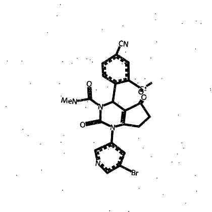 CNC(=O)N1C(=O)N(c2cncc(Br)c2)C2=C(C(=O)CC2)C1c1ccc(C#N)cc1[S+](C)[O-]